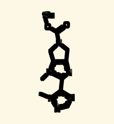 Cn1ncnc1-c1nc2c(n1C)CN(C(=O)OC(C)(C)C)C2